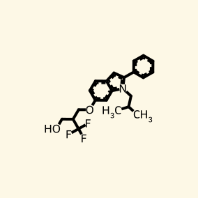 CC(C)Cn1c(-c2ccccc2)cc2ccc(OCC(CO)C(F)(F)F)cc21